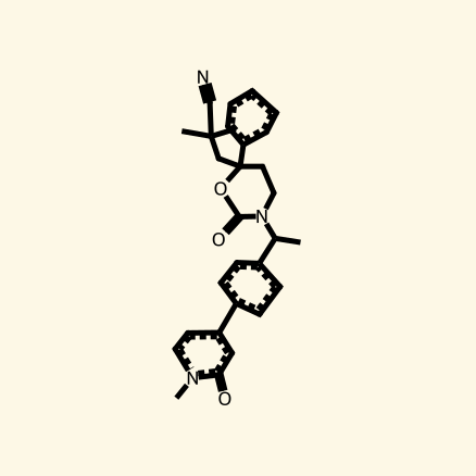 CC(c1ccc(-c2ccn(C)c(=O)c2)cc1)N1CCC(CC(C)(C)C#N)(c2ccccc2)OC1=O